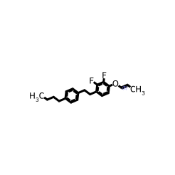 C/C=C/Oc1ccc(CCc2ccc(CCCC)cc2)c(F)c1F